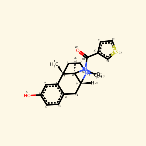 CN1CC[C@@]2(C)c3cc(O)ccc3C[C@@H]1[C@@H]2N(C)C(=O)c1ccsc1